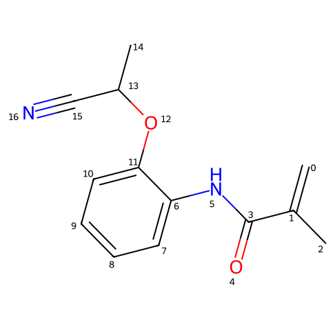 C=C(C)C(=O)Nc1ccccc1OC(C)C#N